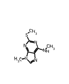 CNc1nc(SC)nc2c1ncn2C